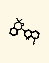 CC1(C)Cc2ccccc2C(c2cnc3c(F)cccc3c2)O1